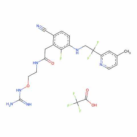 Cc1ccnc(C(F)(F)CNc2ccc(C#N)c(CC(=O)NCCONC(=N)N)c2F)c1.O=C(O)C(F)(F)F